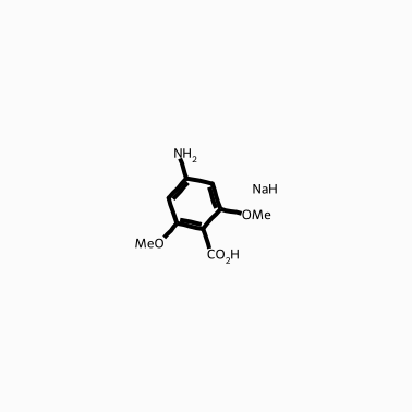 COc1cc(N)cc(OC)c1C(=O)O.[NaH]